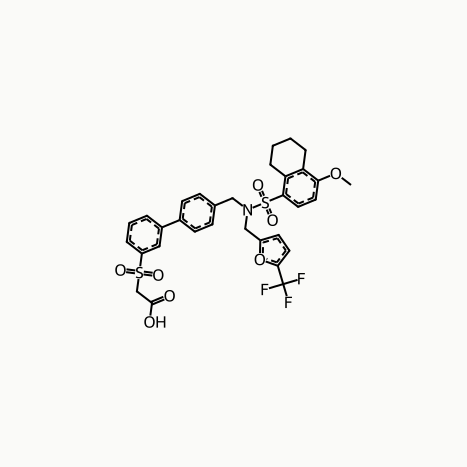 COc1ccc(S(=O)(=O)N(Cc2ccc(-c3cccc(S(=O)(=O)CC(=O)O)c3)cc2)Cc2ccc(C(F)(F)F)o2)c2c1CCCC2